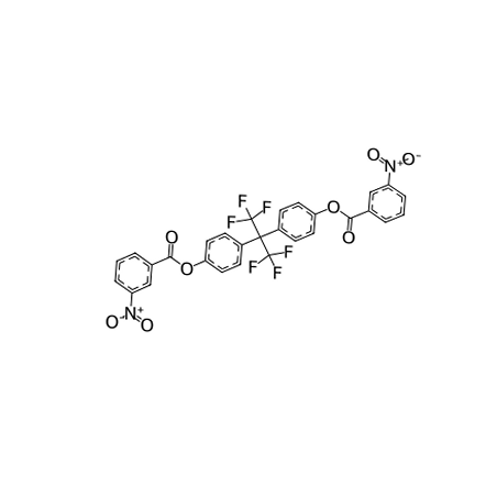 O=C(Oc1ccc(C(c2ccc(OC(=O)c3cccc([N+](=O)[O-])c3)cc2)(C(F)(F)F)C(F)(F)F)cc1)c1cccc([N+](=O)[O-])c1